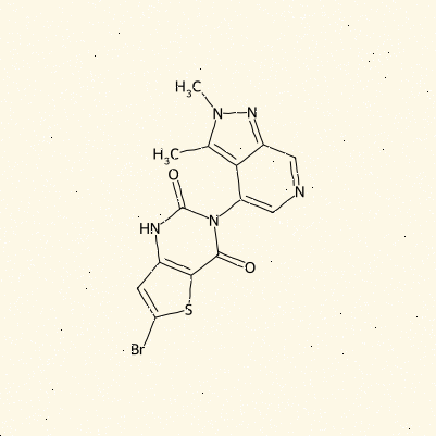 Cc1c2c(-n3c(=O)[nH]c4cc(Br)sc4c3=O)cncc2nn1C